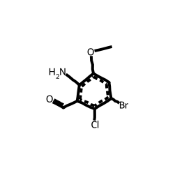 COc1cc(Br)c(Cl)c(C=O)c1N